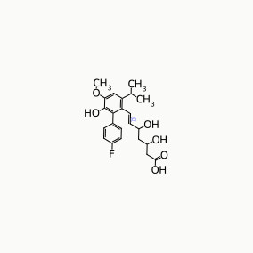 COc1cc(C(C)C)c(/C=C/C(O)CC(O)CC(=O)O)c(-c2ccc(F)cc2)c1O